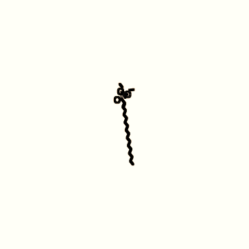 CCCCCCCCCCCCCCCC=CC(=O)N(OCC)OCC